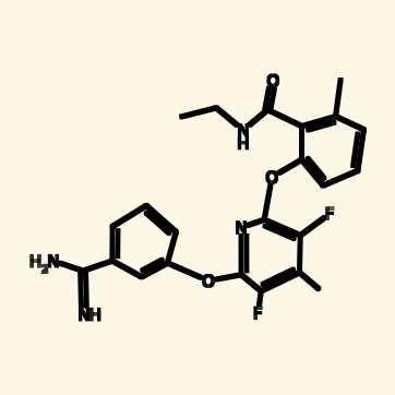 CCNC(=O)c1c(C)cccc1Oc1nc(Oc2cccc(C(=N)N)c2)c(F)c(C)c1F